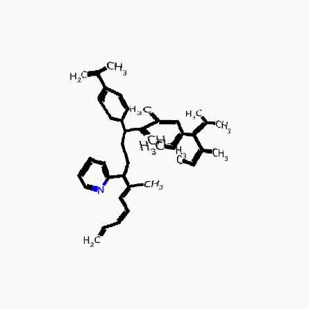 C=C/C=C\C=C(/C)C(CCC(C(=C)/C(C)=C\C(=C/C)C(=C(C)C)/C(C)=C\C)C1C=CC(C(=C)C)=CC1)c1ccccn1